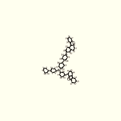 c1ccc(-c2ccc(N(c3ccc(-c4ccc(-c5ccc6c(ccc7oc8ccccc8c76)c5)cc4)cc3)c3cccc(-c4cccc5c4oc4ccccc45)c3)cc2)cc1